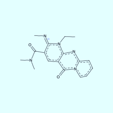 CCn1/c(=N/C)c(C(=O)N(C)C)cc2c(=O)n3ccccc3nc21